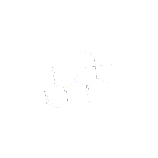 C=CC(F)(F)C(C)C(=O)Nc1ccccc1[N+](=O)[O-]